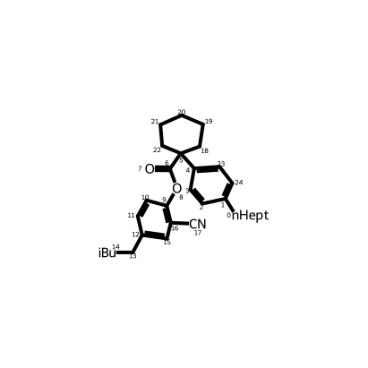 CCCCCCCc1ccc(C2(C(=O)Oc3ccc(CC(C)CC)cc3C#N)CCCCC2)cc1